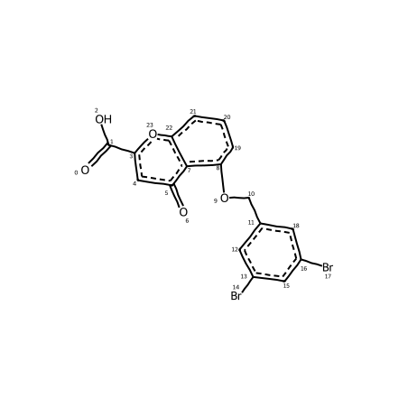 O=C(O)c1cc(=O)c2c(OCc3cc(Br)cc(Br)c3)cccc2o1